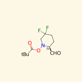 CC(C)(C)C(=O)ON1CC(F)(F)CC[C@H]1C=O